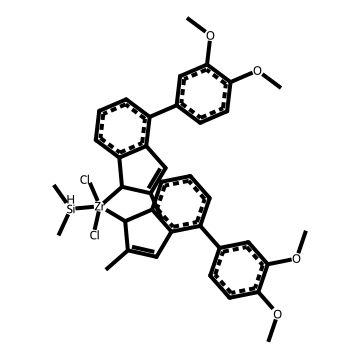 COc1ccc(-c2cccc3c2C=C(C)[CH]3[Zr]([Cl])([Cl])([CH]2C(C)=Cc3c(-c4ccc(OC)c(OC)c4)cccc32)[SiH](C)C)cc1OC